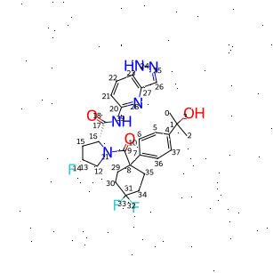 CC(C)(O)c1ccc(C2(C(=O)N3C[C@H](F)C[C@@H]3C(=O)Nc3ccc4[nH]ncc4n3)CCC(F)(F)CC2)cc1